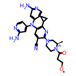 COCCC(=O)N1CCN(c2nc(C3CC3)c(N(c3ccnc(N)c3)c3ccnc(N)c3)cc2C#N)C[C@H]1C